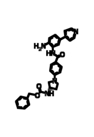 Nc1ccc(-c2ccncc2)cc1NC(=O)c1ccc(N2CC[C@H](NC(=O)OCc3ccccc3)C2)cc1